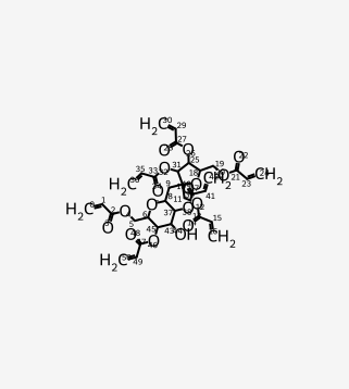 C=CC(=O)OCC1OC(CC2(COC(=O)C=C)OC(COC(=O)C=C)C(OC(=O)C=C)C2OC(=O)C=C)C(OC(=O)C=C)C(O)C1OC(=O)C=C